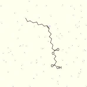 CCCCCCCC/C=C\CCCCCCCC(=O)OCCCC(=O)O